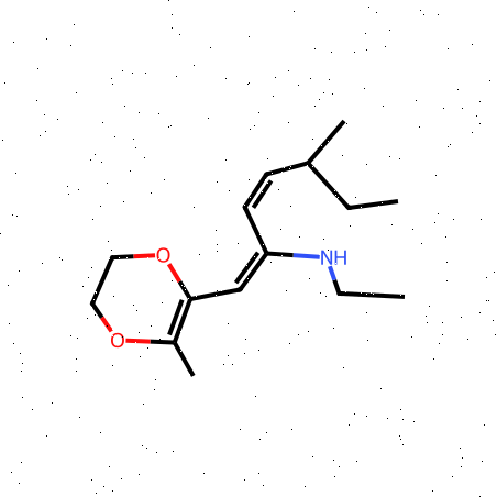 CCNC(/C=C\C(C)CC)=C/C1=C(C)OCCO1